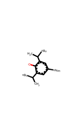 CCCCCCCCCc1cc(C(C)CCCC)c([O])c(C(C)CCCC)c1